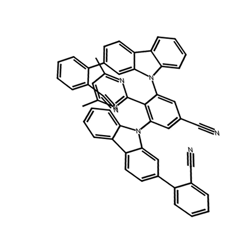 Cc1cc(C)nc(-c2c(-n3c4ccccc4c4ccc(-c5ccccc5C#N)cc43)cc(C#N)cc2-n2c3ccccc3c3ccc(-c4ccccc4C#N)cc32)n1